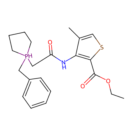 CCOC(=O)c1scc(C)c1NC(=O)C[PH]1(Cc2ccccc2)CCCC1